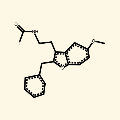 COc1ccc2sc(Cc3ccccc3)c(CCNC(=O)I)c2c1